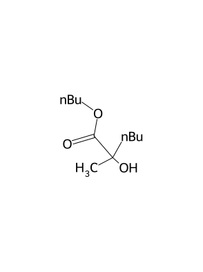 CCCCOC(=O)C(C)(O)CCCC